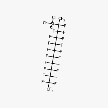 FC(F)(F)C(F)(F)C(F)(F)C(F)(F)C(F)(F)C(F)(F)C(F)(F)C(F)(F)C(F)(F)C(F)(F)C(F)(C(F)(F)F)[Si](Cl)(Cl)Cl